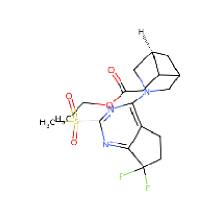 CCOC(=O)CC1C2C[C@@H]1CN(c1nc(S(C)(=O)=O)nc3c1CCC3(F)F)C2